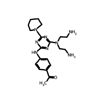 CC(=O)c1ccc(Nc2nc(N(CCN)CCN)nc(N3CCCCC3)n2)cc1